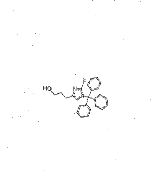 OCCCc1cn(C(c2ccccc2)(c2ccccc2)c2ccccc2)c(F)n1